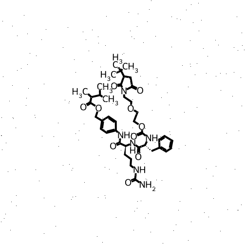 CC(C)C(C)C(=O)OCc1ccc(NC(=O)[C@H](CCCNC(N)=O)NC(=O)[C@@H](Cc2ccccc2)NC(=O)OCCOCCN2C(=O)CC(C(C)(C)C)C2=O)cc1